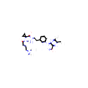 CCc1nc(C(N)=O)c(Nc2cccc(CCNC(=O)C3(N(C)C(=O)/C=C/CN(C)C)CC3)c2)nc1C